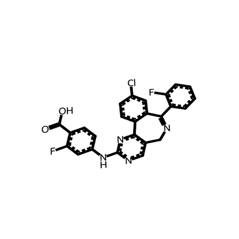 O=C(O)c1ccc(Nc2ncc3c(n2)-c2ccc(Cl)cc2C(c2ccccc2F)=NC3)cc1F